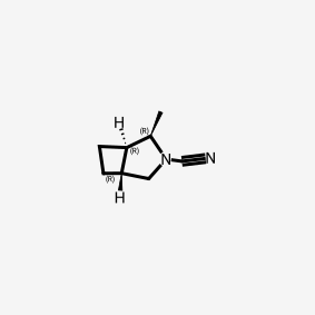 C[C@@H]1[C@@H]2CC[C@H]2CN1C#N